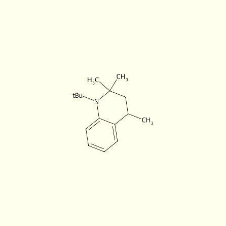 CC1CC(C)(C)N(C(C)(C)C)c2ccccc21